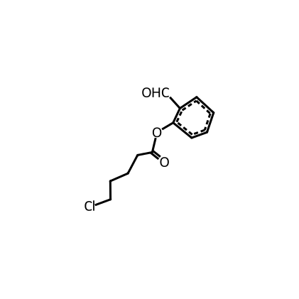 O=Cc1ccccc1OC(=O)CCCCCl